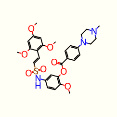 COc1cc(OC)c(/C=C/S(=O)(=O)Nc2ccc(OC)c(OC(=O)c3ccc(N4CCN(C)CC4)cc3)c2)c(OC)c1